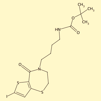 CC(C)(C)OC(=O)NCCCCN1CCSc2cc(I)sc2C1=O